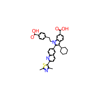 Cc1nc(C)c(-c2ccc3cc(-c4c(C5CCCCC5)c5ccc(C(=O)O)cc5n4CCc4ccc(C(=O)O)cc4)ccc3n2)s1